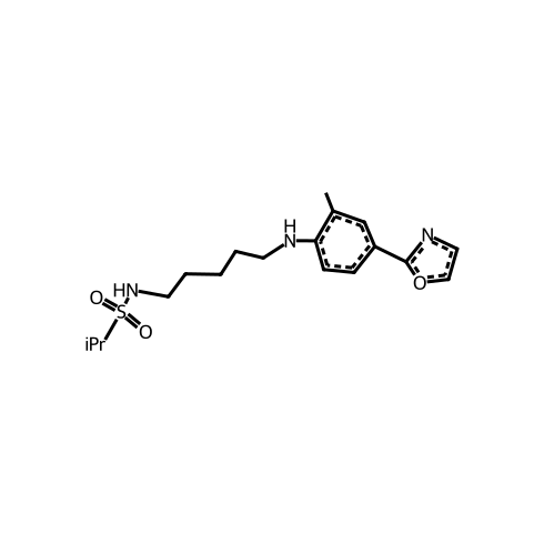 Cc1cc(-c2ncco2)ccc1NCCCCCNS(=O)(=O)C(C)C